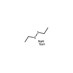 CCSSCC.[NaH].[NaH]